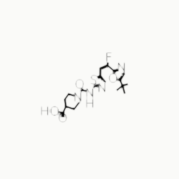 CC(C)(C)c1cnc(/C(F)=C\c2cnc(NC(=O)N3CCC(C(=O)O)CC3)s2)o1